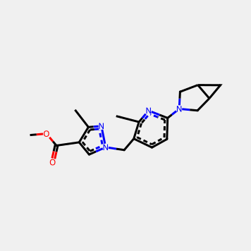 COC(=O)c1cn(Cc2ccc(N3CC4CC4C3)nc2C)nc1C